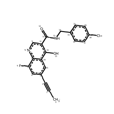 [CH2]C#Cc1cc(F)c2ncc(C(=O)NCc3ccc(Cl)cc3)c(O)c2c1